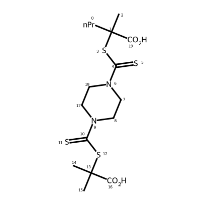 CCCC(C)(SC(=S)N1CCN(C(=S)SC(C)(C)C(=O)O)CC1)C(=O)O